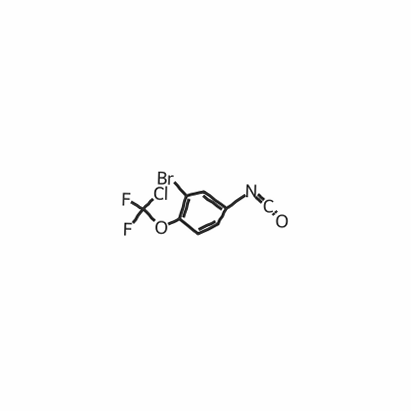 O=C=Nc1ccc(OC(F)(F)Cl)c(Br)c1